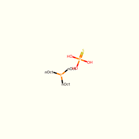 CCCCCCCCP(CCCCCCCC)CCCCCCCC.OP(O)(O)=S